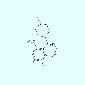 CCC/C=C\c1c(C)c(C)cc(OC)c1CN1CCN(C)CC1